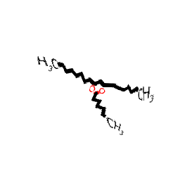 CCCCCCCCC(CCCCCCCC)OC(=O)CCCCCC